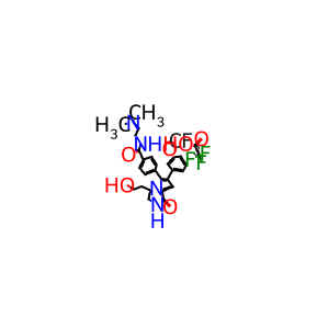 CN(C)CCNC(=O)c1ccc(-c2c(-c3cccc(OC(F)(F)F)c3)cc3n2C(CCO)CNC3=O)cc1.O=C(O)C(F)(F)F